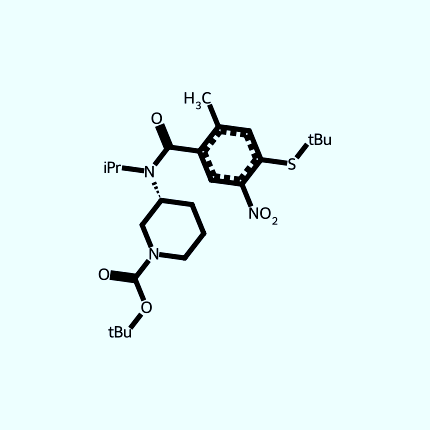 Cc1cc(SC(C)(C)C)c([N+](=O)[O-])cc1C(=O)N(C(C)C)[C@@H]1CCCN(C(=O)OC(C)(C)C)C1